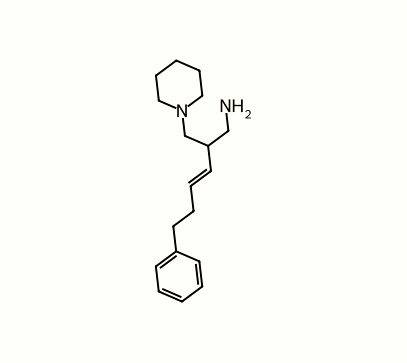 NCC(/C=C/CCc1ccccc1)CN1CCCCC1